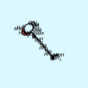 CO[C@H]1C[C@@H]2CC[C@@H](C)[C@@](O)(O2)C(=O)C(=O)N2CCCC[C@H]2C(=O)O[C@H]([C@H](C)C[C@@H]2CC[C@H](n3cc(CCCC(=O)NCCOCCOCCOCCC(=O)NCCOCCOCCC(=O)NCCCCn4nc(-c5cc6cc(O)ccc6[nH]5)c5c(N)ncnc54)nn3)[C@H](OC)C2)C[C@@H](OC)[C@H](C)/C=C(\C)[C@@H](O)[C@@H](O)C(=O)[C@H](C)C[C@H](C)/C=C/C=C/C=C/1C